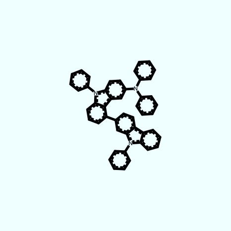 c1ccc(N(c2ccccc2)c2ccc3c(c2)c2c(-c4ccc5c6ccccc6n(-c6ccccc6)c5c4)cccc2n3-c2ccccc2)cc1